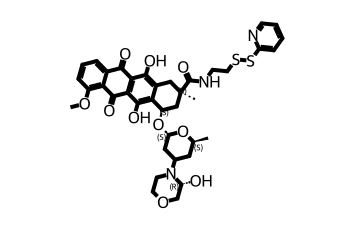 COc1cccc2c1C(=O)c1c(O)c3c(c(O)c1C2=O)C[C@@](C)(C(=O)NCCSSc1ccccn1)C[C@@H]3O[C@H]1CC(N2CCOC[C@H]2O)C[C@H](C)O1